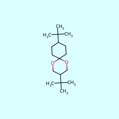 CC(C)(C)C1CCC2(CC1)OCC(C(C)(C)C)CO2